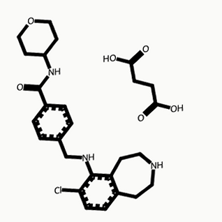 O=C(NC1CCOCC1)c1ccc(CNc2c(Cl)ccc3c2CCNCC3)cc1.O=C(O)CCC(=O)O